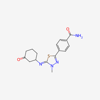 Cn1nc(-c2ccc(C(N)=O)cc2)sc1=NC1CCCC(=O)C1